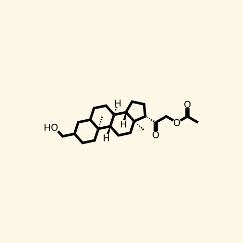 CC(=O)OCC(=O)[C@H]1CC[C@H]2[C@@H]3CCC4CC(CO)CC[C@]4(C)[C@H]3CC[C@]12C